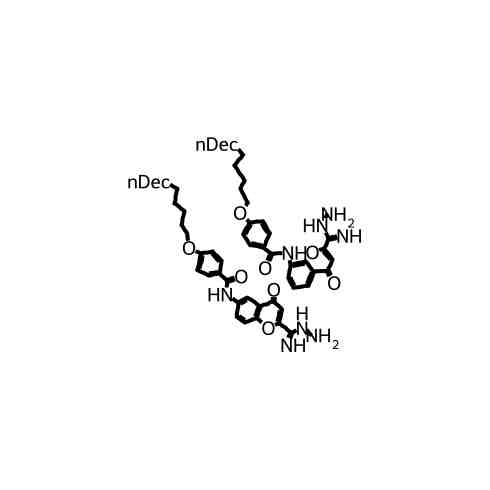 CCCCCCCCCCCCCCCOc1ccc(C(=O)Nc2ccc3oc(C(=N)NN)cc(=O)c3c2)cc1.CCCCCCCCCCCCCCCOc1ccc(C(=O)Nc2cccc3c(=O)cc(C(=N)NN)oc23)cc1